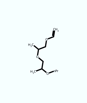 C=COCC(C)OCC(C)OCCC